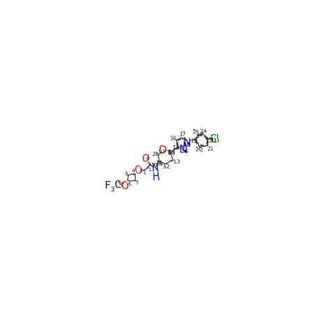 O=C(COC1CC(OC(F)(F)F)C1)N[C@H]1CC[C@H](c2ccn(-c3ccc(Cl)cc3)n2)OC1